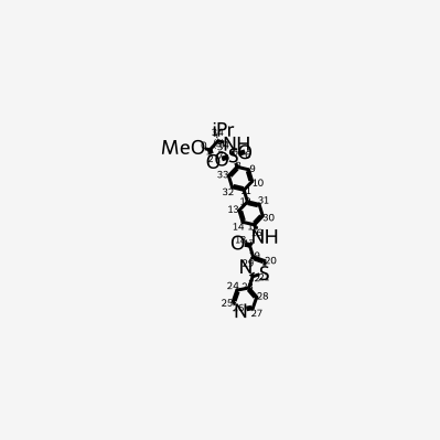 COC(=O)[C@@H](NS(=O)(=O)c1ccc(-c2ccc(NC(=O)c3csc(-c4ccncc4)n3)cc2)cc1)C(C)C